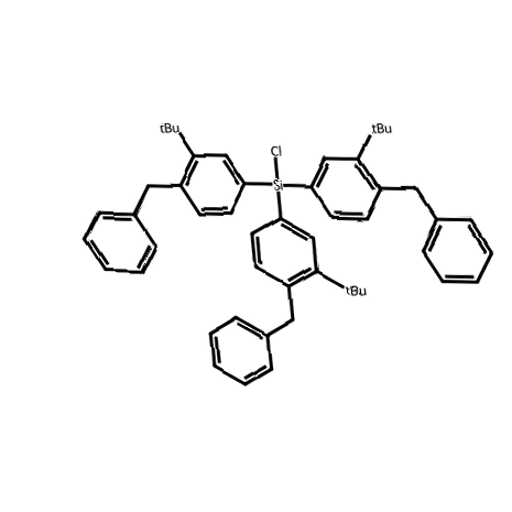 CC(C)(C)c1cc([Si](Cl)(c2ccc(Cc3ccccc3)c(C(C)(C)C)c2)c2ccc(Cc3ccccc3)c(C(C)(C)C)c2)ccc1Cc1ccccc1